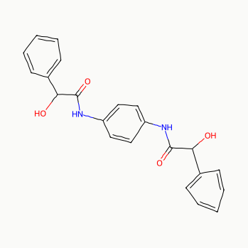 O=C(Nc1ccc(NC(=O)C(O)c2ccccc2)cc1)C(O)c1ccccc1